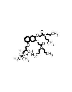 CCCN(CCC)C(=O)CO[C@H]1Cc2c(cccc2OCC(O)CNC(C)(C)C)C[C@H]1OCC(=O)N(CCC)CCC